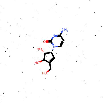 Nc1ccn([C@@H]2C=C(CO)C(O)[C@@H]2O)c(=O)n1